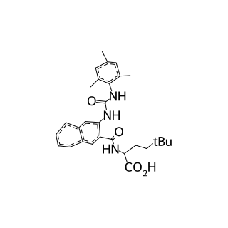 Cc1cc(C)c(NC(=O)Nc2cc3ccccc3cc2C(=O)NC(CCC(C)(C)C)C(=O)O)c(C)c1